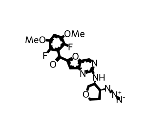 COc1cc(OC)c(F)c(C(=O)c2cc3nc(N[C@@H]4COCC[C@@H]4N=[N+]=[N-])ncc3o2)c1F